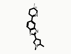 CC1CC(c2nc3cc(C4=NC[C@@H](C)CC4)ccc3s2)CN1C